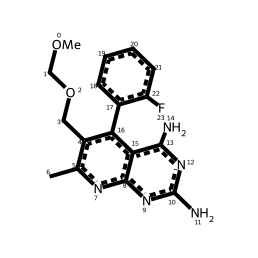 COCOCc1c(C)nc2nc(N)nc(N)c2c1-c1ccccc1F